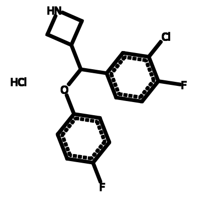 Cl.Fc1ccc(OC(c2ccc(F)c(Cl)c2)C2CNC2)cc1